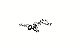 COc1ccc(-c2ccnc3nc(NC(=O)NC(C)CCCC(C)C)nn23)cc1